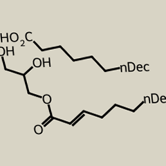 CCCCCCCCCCCCCC=CC(=O)OCC(O)CO.CCCCCCCCCCCCCCCC(=O)O